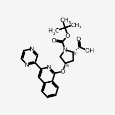 CC(C)(C)OC(=O)N1C[C@H](Oc2nc(-c3cnccn3)cc3ccccc23)C[C@H]1C(=O)O